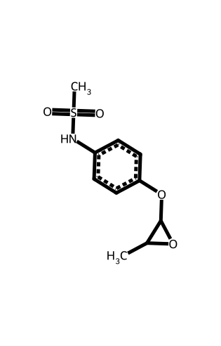 CC1OC1Oc1ccc(NS(C)(=O)=O)cc1